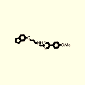 COc1ccc(-c2cnc(CNCCCOc3ccc4c(c3)C[CH]C4)nc2)cc1